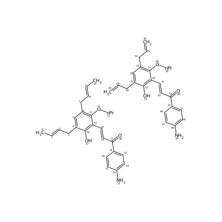 C/C=C/Cc1cc(C/C=C/C)c(OCCC)c(/C=C/C(=O)c2ccc(N)cc2)c1O.C=CCc1cc(CC=C)c(OCCC)c(/C=C/C(=O)c2ccc(N)cc2)c1O